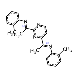 C/C(=N\c1ccccc1C)c1ccnc(/C(C)=N/c2ccccc2C)n1